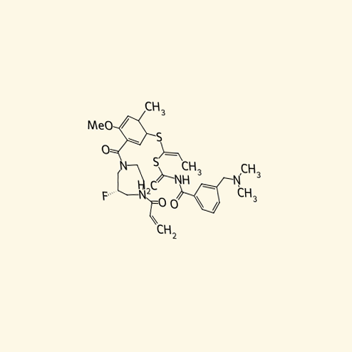 C=CC(=O)N1CCN(C(=O)C2=CC(S/C(=C/C)SC(=C)NC(=O)c3cccc(CN(C)C)c3)C(C)C=C2OC)C[C@@H](F)C1